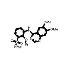 CNS(=O)(=O)c1cccc(Nc2ncnc3cc(OC)c(OC)cc23)c1OC(C)C